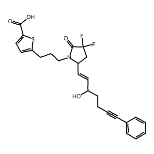 O=C(O)c1ccc(CCCN2C(=O)C(F)(F)CC2/C=C/C(O)CCC#Cc2ccccc2)s1